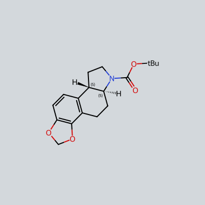 CC(C)(C)OC(=O)N1CC[C@H]2c3ccc4c(c3CC[C@@H]21)OCO4